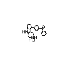 Cl.O=C(c1ccccc1)c1ccc(-c2cccc3[nH]c4c(c23)CCNCC4)cc1